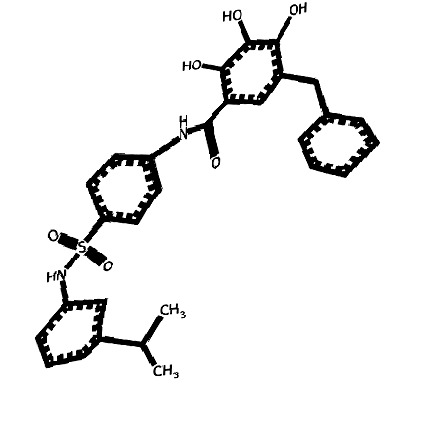 CC(C)c1cccc(NS(=O)(=O)c2ccc(NC(=O)c3cc(Cc4ccccc4)c(O)c(O)c3O)cc2)c1